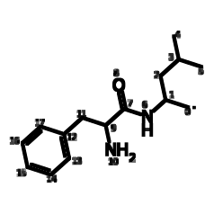 [CH2]C(CC(C)C)NC(=O)C(N)Cc1ccccc1